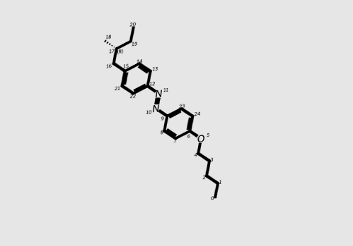 CCCCCOc1ccc(N=Nc2ccc(C[C@H](C)CC)cc2)cc1